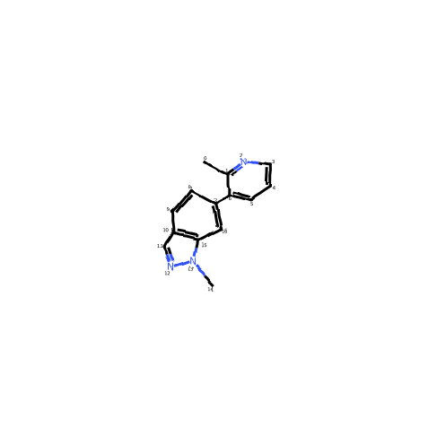 Cc1ncccc1-c1ccc2cnn(C)c2c1